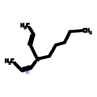 CC=CN(/C=C\C)CCCCC